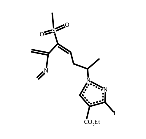 C=NC(=C)/C(=C\CC(C)n1cc(C(=O)OCC)c(I)n1)S(C)(=O)=O